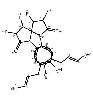 CCCC=CCc1cc(N2C(=O)C(F)C(F)C23C(F)C(F)C(=O)N3c2ccc(O)c(CC=CCCC)c2)ccc1O